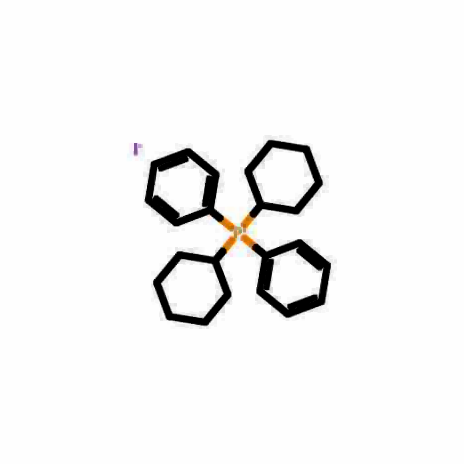 [I-].c1ccc([P+](c2ccccc2)(C2CCCCC2)C2CCCCC2)cc1